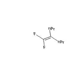 CCCC(CCC)=C(F)F